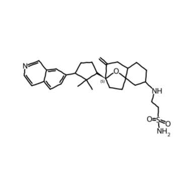 C=C1CC2CCC(NCCS(N)(=O)=O)CC23CC[C@@]1(C1CCC(c2ccc4ccncc4c2)C1(C)C)O3